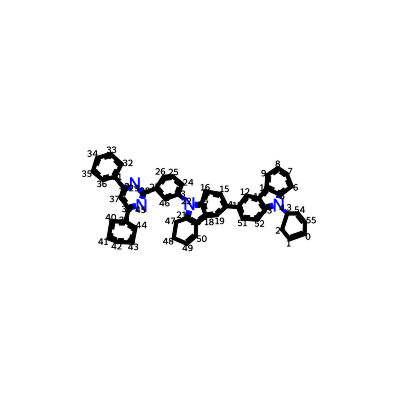 C1=CCC(n2c3ccccc3c3cc(-c4ccc5c(c4)c4c(n5-c5cccc(-c6nc(-c7ccccc7)cc(-c7ccccc7)n6)c5)CCC=C4)ccc32)C=C1